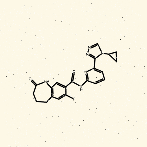 O=C1CCCc2cc(F)c(C(=O)Nc3cccc(-c4nncn4C4CC4)n3)cc2N1